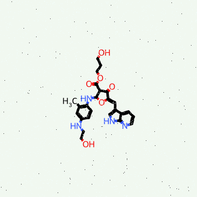 Cc1cc(NCCO)ccc1NC1O/C(=C\c2c[nH]c3ncccc23)C(=O)C1C(=O)OCCCO